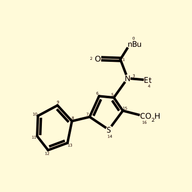 CCCCC(=O)N(CC)c1cc(-c2ccccc2)sc1C(=O)O